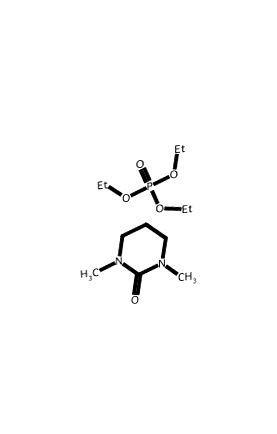 CCOP(=O)(OCC)OCC.CN1CCCN(C)C1=O